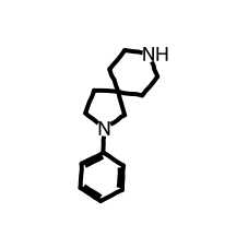 c1ccc(N2CCC3(CCNCC3)C2)cc1